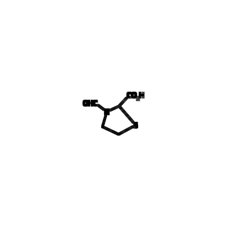 O=CN1CCSC1C(=O)O